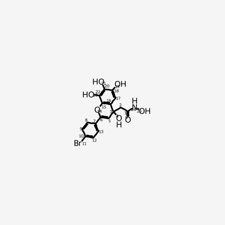 O=C(CC1(O)C=C(c2ccc(Br)cc2)Oc2c1cc(O)c(O)c2O)NO